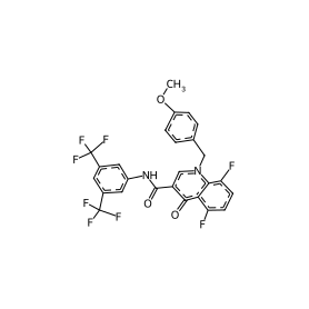 COc1ccc(Cn2cc(C(=O)Nc3cc(C(F)(F)F)cc(C(F)(F)F)c3)c(=O)c3c(F)ccc(F)c32)cc1